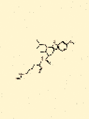 COc1ccc2c3c([nH]c2c1)C(CC(C)C)N(C)C(C(=O)NC(C=O)CCCCNC=O)C3